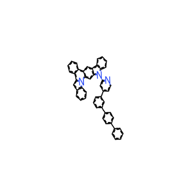 c1ccc(-c2ccc(-c3cccc(-c4ccnc(-n5c6ccccc6c6cc7c8ccccc8c8cc9ccccc9n8c7cc65)c4)c3)cc2)cc1